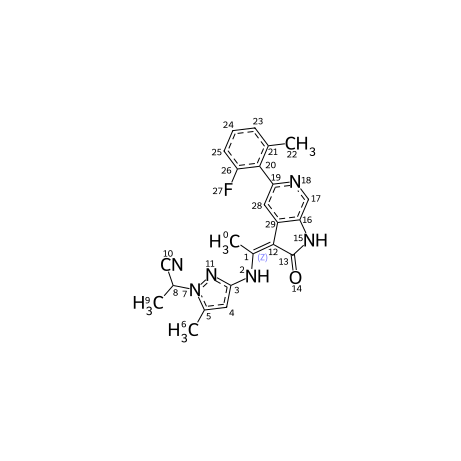 C/C(Nc1cc(C)n(C(C)C#N)n1)=C1/C(=O)Nc2cnc(-c3c(C)cccc3F)cc21